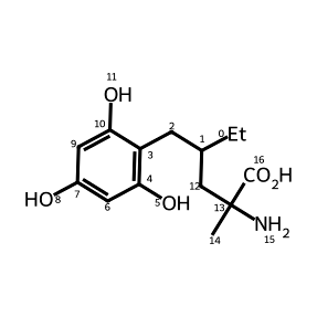 CCC(Cc1c(O)cc(O)cc1O)CC(C)(N)C(=O)O